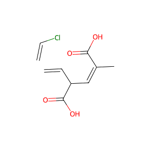 C=CC(C=C(C)C(=O)O)C(=O)O.C=CCl